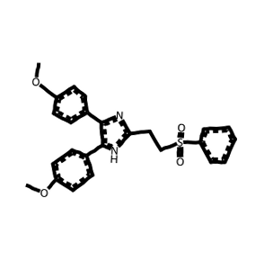 COc1ccc(-c2nc(CCS(=O)(=O)c3ccccc3)[nH]c2-c2ccc(OC)cc2)cc1